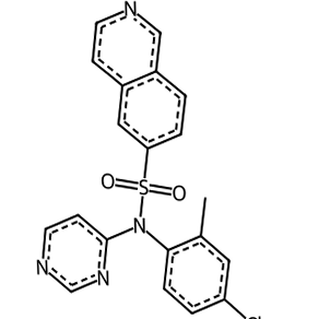 Cc1cc(Cl)ccc1N(c1ccncn1)S(=O)(=O)c1ccc2cnccc2c1